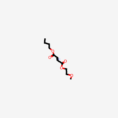 CCCCOC(=O)/C=C/C(=O)OCCOC